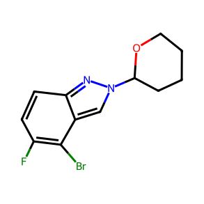 Fc1ccc2nn(C3CCCCO3)cc2c1Br